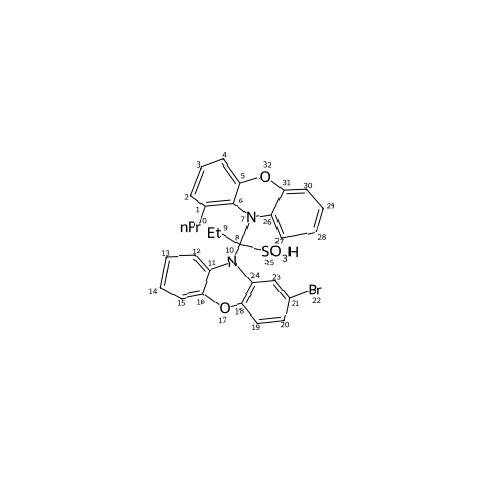 CCCc1cccc2c1N(C(CC)(N1c3ccccc3Oc3ccc(Br)cc31)S(=O)(=O)O)c1ccccc1O2